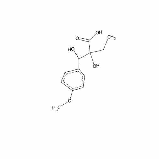 CCC(O)(C(=O)O)C(O)c1ccc(OC)cc1